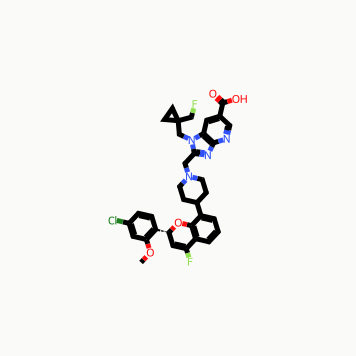 COc1cc(Cl)ccc1[C@H]1C=C(F)c2cccc(C3CCN(Cc4nc5ncc(C(=O)O)cc5n4CC4(CF)CC4)CC3)c2O1